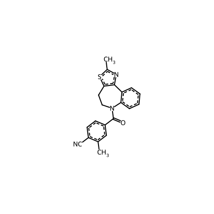 Cc1nc2c(s1)CCN(C(=O)c1ccc(C#N)c(C)c1)c1ccccc1-2